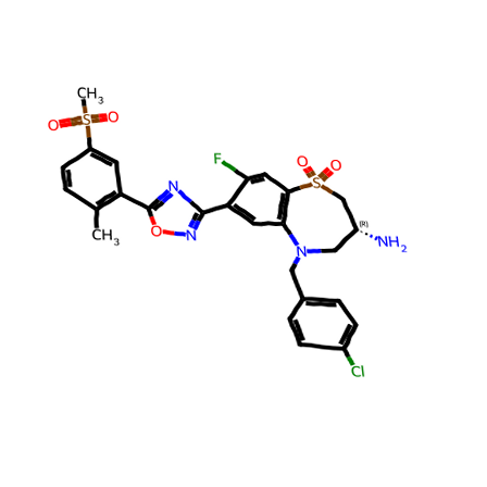 Cc1ccc(S(C)(=O)=O)cc1-c1nc(-c2cc3c(cc2F)S(=O)(=O)C[C@H](N)CN3Cc2ccc(Cl)cc2)no1